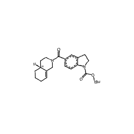 CC(C)(C)OC(=O)N1CCc2cc(C(=O)N3CC[C@H]4CCCC=C4C3)ccc21